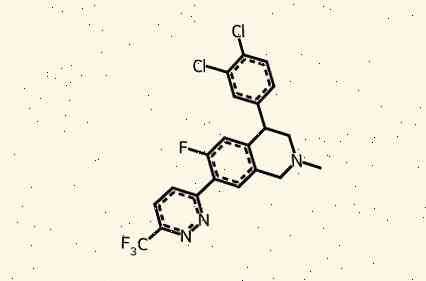 CN1Cc2cc(-c3ccc(C(F)(F)F)nn3)c(F)cc2C(c2ccc(Cl)c(Cl)c2)C1